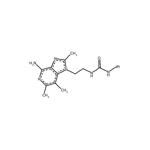 Cc1nc(N)c2nc(C)n(CCNC(=O)NC(C)C)c2c1C